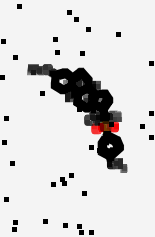 [C-]#[N+]C(CC)(C1=CC[C@H]2[C@@H]3CC=C4C=C(OC)CC[C@]4(C)[C@H]3CC[C@]12C)S(=O)(=O)c1ccc(C)cc1